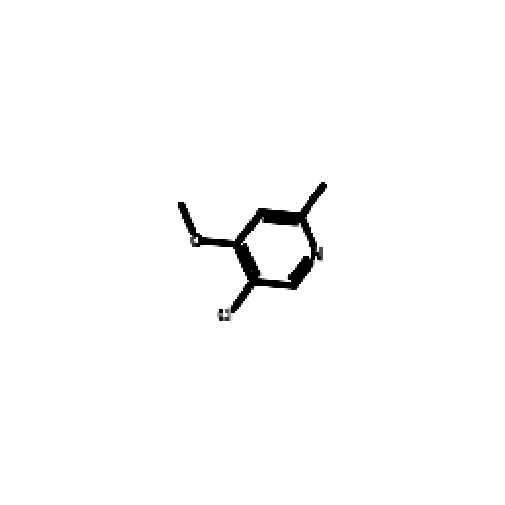 COc1cc(C)ncc1Cl